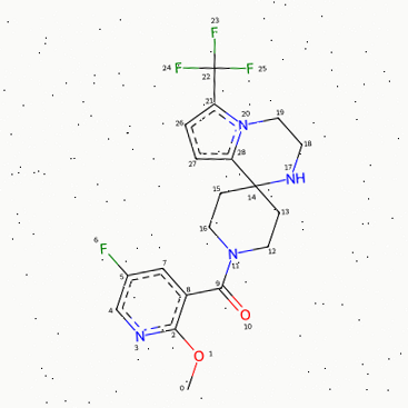 COc1ncc(F)cc1C(=O)N1CCC2(CC1)NCCn1c(C(F)(F)F)ccc12